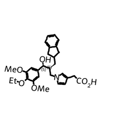 CCOc1c(OC)cc([C@@H](O)[C@@H](CC2Cc3ccccc3C2)Cn2ccc(CC(=O)O)c2)cc1OC